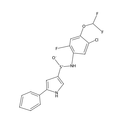 [O-][S+](Nc1cc(Cl)c(OC(F)F)cc1F)c1c[nH]c(-c2ccccc2)c1